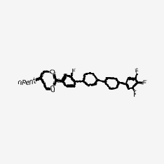 CCCCCC1COC(c2ccc(C3CCC(C4CCC(c5cc(F)c(F)c(F)c5)CC4)CC3)c(F)c2)OC1